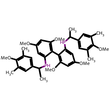 COc1cc(OC)c(-c2c(OC)cc(OC)cc2PC(C)c2cc(C)c(OC)c(C)c2)c(PC(C)c2cc(C)c(OC)c(C)c2)c1